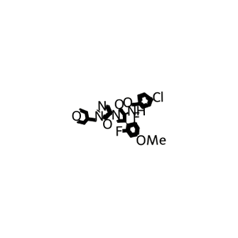 COc1cc(F)c([C@@H]2CN(c3cncn(CC4CCOCC4)c3=O)C(=O)[C@H]2NC(=O)c2ccc(Cl)cc2)c(F)c1